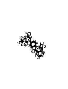 COC(=O)CN(C(=O)OC(C)(C)C)[C@H]1CC[C@H](NC(=O)c2nccnc2N)CC1